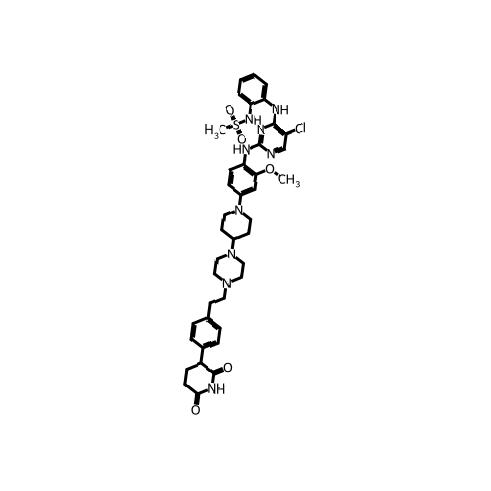 COc1cc(N2CCC(N3CCN(CCc4ccc(C5CCC(=O)NC5=O)cc4)CC3)CC2)ccc1Nc1ncc(Cl)c(Nc2ccccc2NS(C)(=O)=O)n1